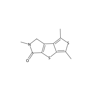 Cc1sc(C)c2c3c(sc12)C(=O)N(C)C3